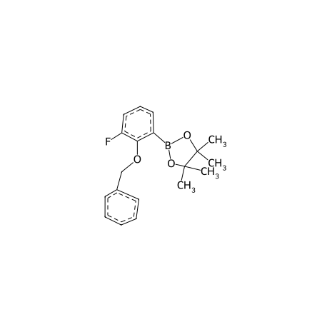 CC1(C)OB(c2cccc(F)c2OCc2ccccc2)OC1(C)C